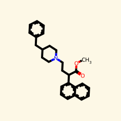 COC(=O)C(CCN1CCC(Cc2ccccc2)CC1)c1cccc2ccccc12